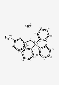 Br.FC(F)(F)c1cccc(C[PH](c2ccccc2)(c2ccccc2)c2ccccc2)c1